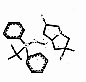 CC1(F)CN2C[C@H](F)C[C@]2(CO[Si](c2ccccc2)(c2ccccc2)C(C)(C)C)C1